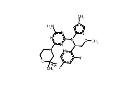 COC[C@@H](c1ncc(F)cc1F)N(c1cn(C)cn1)c1nc(N)nc(N2CCOC(C)(C)C2)n1